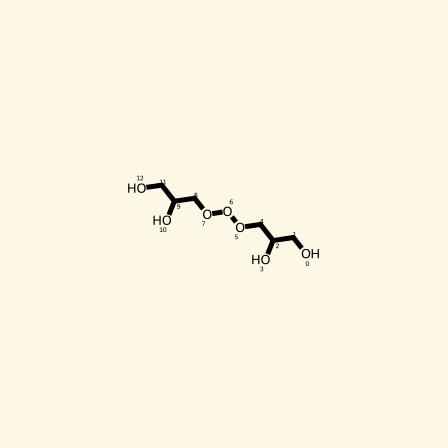 OCC(O)COOOCC(O)CO